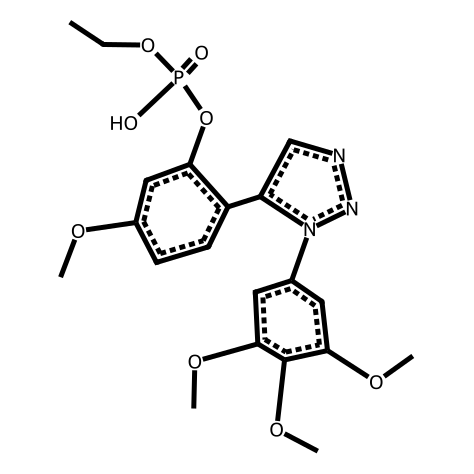 CCOP(=O)(O)Oc1cc(OC)ccc1-c1cnnn1-c1cc(OC)c(OC)c(OC)c1